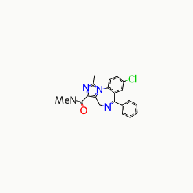 CNC(=O)c1nc(C)n2c1CN=C(c1ccccc1)c1cc(Cl)ccc1-2